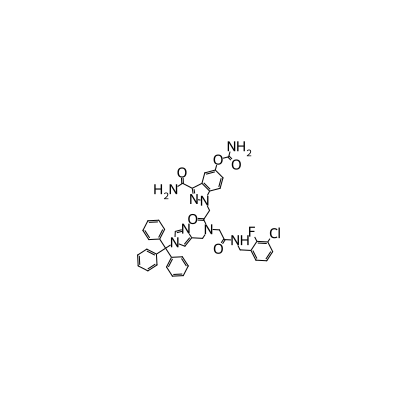 NC(=O)Oc1ccc2c(c1)c(C(N)=O)nn2CC(=O)N(CC(=O)NCc1cccc(Cl)c1F)Cc1cn(C(c2ccccc2)(c2ccccc2)c2ccccc2)cn1